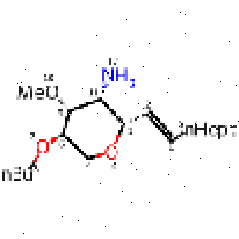 CCCCCCCC=C[C@@H]1OC[C@@H](OCCCC)[C@H](OC)[C@@H]1N